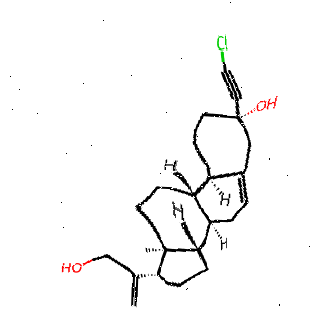 C=C(CO)[C@H]1CC[C@H]2[C@@H]3CC=C4C[C@](O)(C#CCl)CC[C@@H]4[C@H]3CC[C@]12C